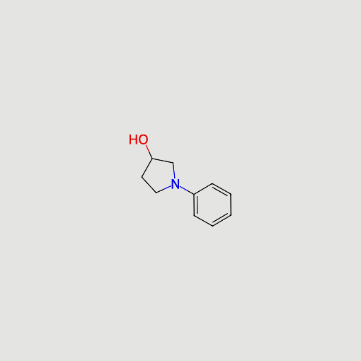 OC1CCN(c2ccccc2)C1